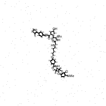 CNc1ccc(O[C@H]2C(C)(C)[C@H](NC(=O)c3ccc(OCCCCCNCC(=O)N[C@H](C(=O)N4C[C@H](O)C[C@H]4C(=O)NCc4ccc(-c5ocnc5C)cc4)C(C)(C)C)cc3)C2(C)C)cc1Cl